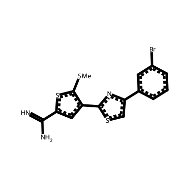 CSc1sc(C(=N)N)cc1-c1nc(-c2cccc(Br)c2)cs1